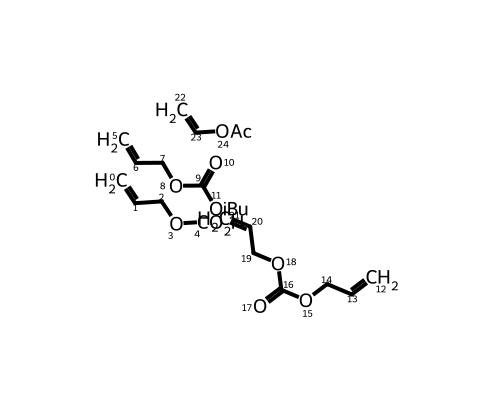 C=CCOC(=O)O.C=CCOC(=O)OCC(C)C.C=CCOC(=O)OCC=C.C=COC(C)=O